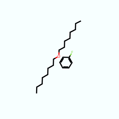 CCCCCCCCOCCCCCCCC.Fc1ccccc1